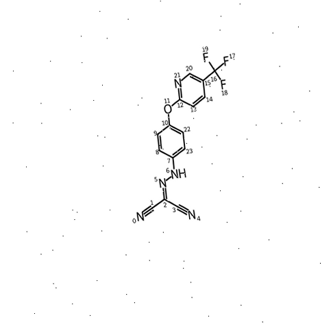 N#CC(C#N)=NNc1ccc(Oc2ccc(C(F)(F)F)cn2)cc1